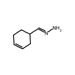 NN=CC1CC=CCC1